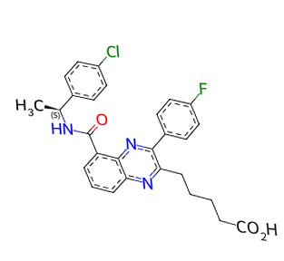 C[C@H](NC(=O)c1cccc2nc(CCCCC(=O)O)c(-c3ccc(F)cc3)nc12)c1ccc(Cl)cc1